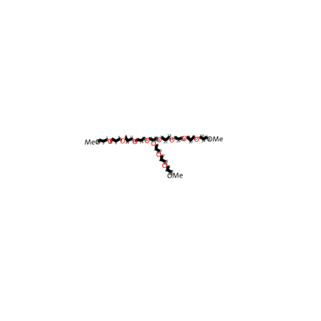 COCCCOCCCOCCCOCCCOCC(COCCCOCCCOCCCOCCCOC)OCCCOCCCOCCCOC